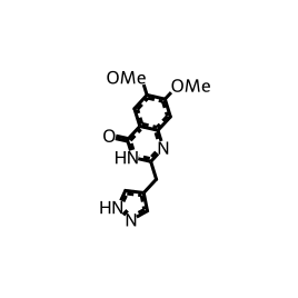 COc1cc2nc(Cc3cn[nH]c3)[nH]c(=O)c2cc1OC